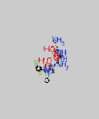 C[C@@H](NC(=O)[C@@H](N)CCN(C(=O)CO)[C@@H](c1nc(-c2cc(F)ccc2F)cn1Cc1ccccc1)C(C)(C)C)C(=O)N[C@@H](CCCCN)C(=O)O